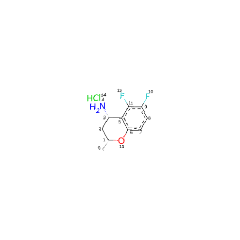 C[C@@H]1C[C@H](N)c2c(ccc(F)c2F)O1.Cl